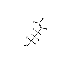 CCCC(F)(F)C(F)(F)C(F)(F)C(F)=C(F)F